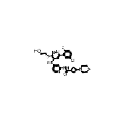 O=C(Nc1cc(Nc2cc(-c3cc(Cl)ccc3F)nnc2SCCO)ccn1)C1CC(N2CCSCC2)C1